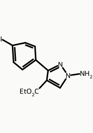 CCOC(=O)c1cn(N)nc1-c1ccc(I)cc1